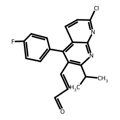 CC(C)c1nc2nc(Cl)ccc2c(-c2ccc(F)cc2)c1/C=C/C=O